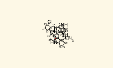 COc1ccc2[nH]cc(N(Cc3ccccc3Cl)C(=O)C(Cc3c[nH]c4ccccc34)(NC(C)=O)N3CC=CCC3)c2c1